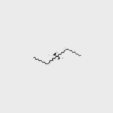 CCCCCCCCCC1OC1CCCCC(C(=O)O)=C(CCCCC1OC1CCCCCCCCC)C(=O)O